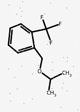 C[C](C)OCc1ccccc1C(F)(F)F